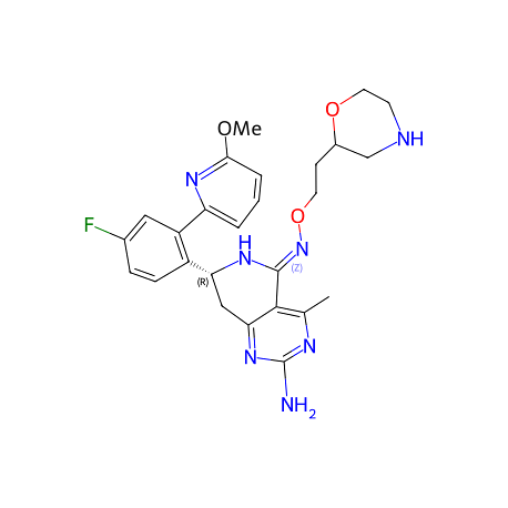 COc1cccc(-c2cc(F)ccc2[C@H]2Cc3nc(N)nc(C)c3/C(=N/OCCC3CNCCO3)N2)n1